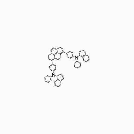 c1ccc(N(c2ccc(-c3ccc4ccc5ccc(-c6ccc(N(c7ccccc7)c7cccc8ccccc78)cc6)c6ccc3c4c56)cc2)c2cccc3ccccc23)cc1